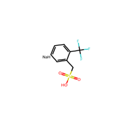 O=S(=O)(O)Cc1ccccc1C(F)(F)F.[NaH]